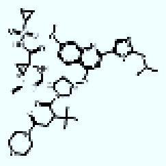 C=C[C@@H]1C[C@]1(NC(=O)[C@@H]1C[C@@H](Oc2cc(-c3csc(NC(C)C)n3)nc3cc(OC)ccc23)CN1C(=O)C(CC(=O)N1CCOCC1)C(C)(C)C)C(=O)NS(=O)(=O)C1CC1